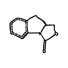 O=C1OCC2Cc3ccccc3N12